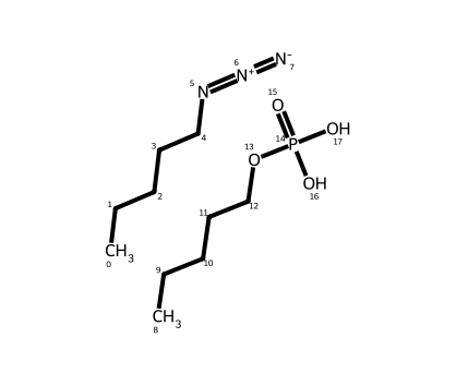 CCCCCN=[N+]=[N-].CCCCCOP(=O)(O)O